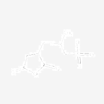 CC(CC1CC(=O)OC1=O)CS(=O)(=O)Cl